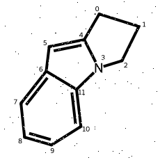 [CH]1CCn2c1cc1ccccc12